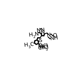 COc1cc(C)cc2cc(-c3cc(CN4CCNC(=O)C4)n4ncnc(N)c34)sc12.Cl.Cl